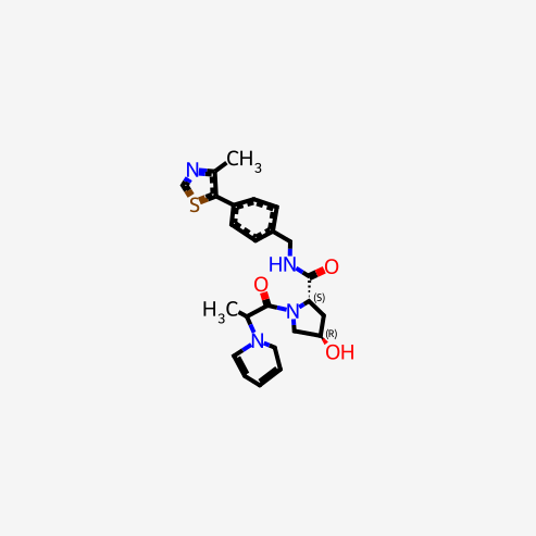 Cc1ncsc1-c1ccc(CNC(=O)[C@@H]2C[C@@H](O)CN2C(=O)C(C)N2C=CC=CC2)cc1